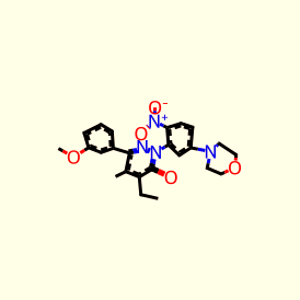 CCc1c(C)c(-c2cccc(OC)c2)nn(-c2cc(N3CCOCC3)ccc2[N+](=O)[O-])c1=O